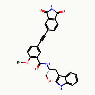 CC(C)Oc1ccc(C#Cc2ccc3c(c2)C(=O)NC3=O)cc1C(=O)N[C@@H](CO)Cc1c[nH]c2ccccc12